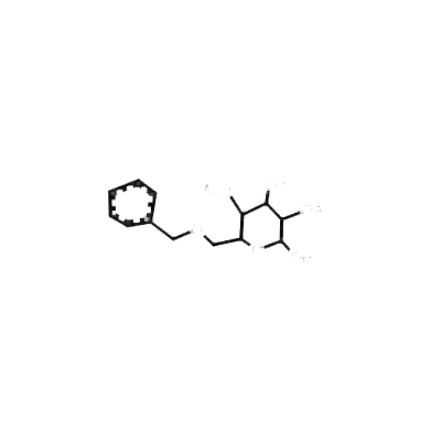 CC(=O)OC1C(O)OC(COCc2ccccc2)C(OC(C)=O)C1O